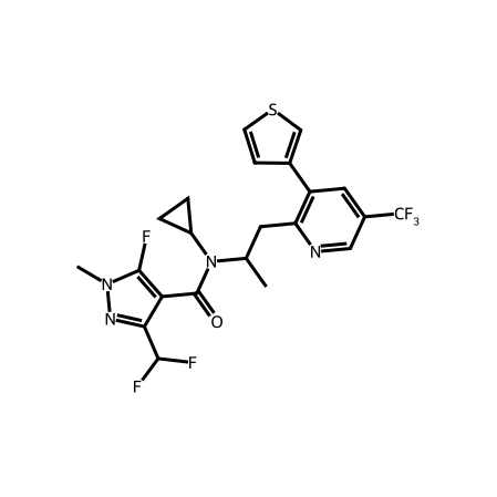 CC(Cc1ncc(C(F)(F)F)cc1-c1ccsc1)N(C(=O)c1c(C(F)F)nn(C)c1F)C1CC1